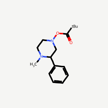 CN1CCN(OC(=O)C(C)(C)C)CC1c1ccccc1